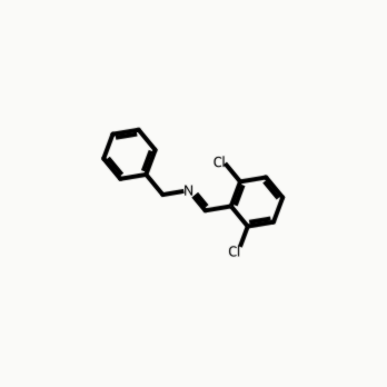 Clc1cccc(Cl)c1C=NCc1ccccc1